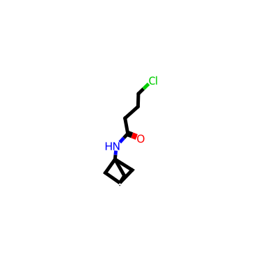 O=C(CCCCl)NC12C[C](C1)C2